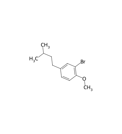 COc1ccc(CCC(C)C)cc1Br